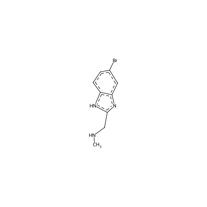 CNCc1nc2cc(Br)ccc2[nH]1